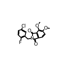 COc1ccc2c(c1OC)C(=O)N(Cc1cc(Cl)ccc1F)C2=O